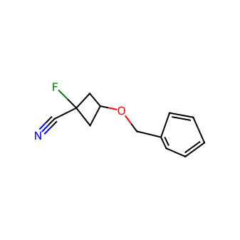 N#CC1(F)CC(OCc2ccccc2)C1